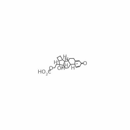 C[C@]12C=CC(=O)C=C1CC[C@H]1[C@@H]3[C@@H]4CC[C@@H]4[C@@](O)(CCOC(=O)O)[C@@]3(C)CC[C@@H]12